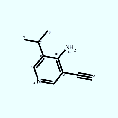 C#Cc1cncc(C(C)C)c1N